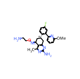 COc1cccc(-c2cc(F)ccc2[C@H]2C/C(=N\OCCN)c3c(C)nc(N)nc3C2)n1